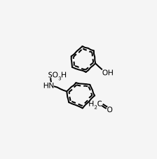 C=O.O=S(=O)(O)Nc1ccccc1.Oc1ccccc1